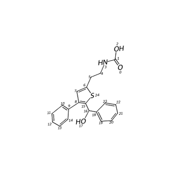 O=C(O)NCCc1cc(-c2ccccc2)c(C(O)c2ccccc2)s1